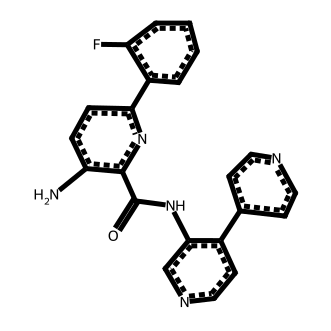 Nc1ccc(-c2ccccc2F)nc1C(=O)Nc1cnccc1-c1ccncc1